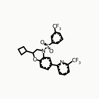 O=S(=O)(c1cccc(C(F)(F)F)c1)N1CC(C2CCC2)Oc2ccc(-c3cccc(C(F)(F)F)n3)cc21